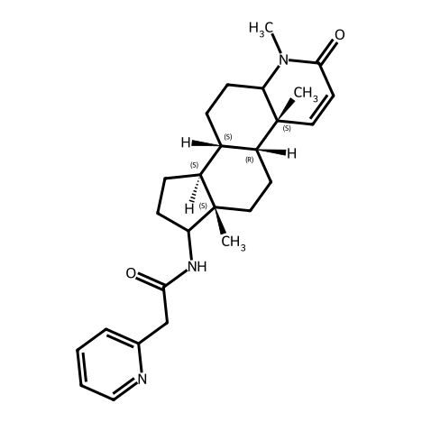 CN1C(=O)C=C[C@@]2(C)C1CC[C@@H]1[C@H]2CC[C@]2(C)C(NC(=O)Cc3ccccn3)CC[C@@H]12